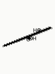 CCCCCCCCCCCCCCCCCCCCC(CCCCCCCCC(O)CCCCCCCCC)C(=O)O